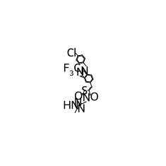 Cc1nc(CN2C(=O)SC(=Cc3ccc4c(cnn4Cc4ccc(Cl)cc4C(F)(F)F)c3)C2=O)n[nH]1